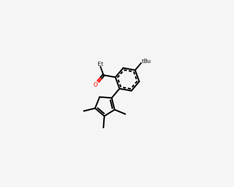 CCC(=O)c1cc(C(C)(C)C)ccc1C1=C(C)C(C)=C(C)C1